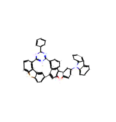 c1ccc(C2=NC(c3ccccc3)NC(c3cccc4sc5ccc(-c6ccc7c(c6)oc6ccc(-n8c9ccccc9c9ccccc98)cc67)cc5c34)=N2)cc1